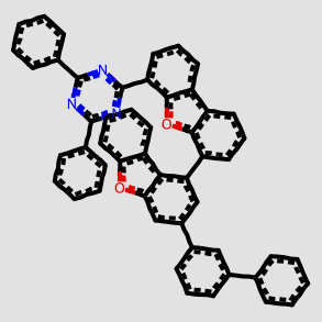 c1ccc(-c2cccc(-c3cc(-c4cccc5c4oc4c(-c6nc(-c7ccccc7)nc(-c7ccccc7)n6)cccc45)c4c(c3)oc3ccccc34)c2)cc1